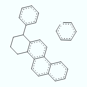 c1ccc(C2CCCc3c2ccc2c3ccc3ccccc32)cc1.c1ccncc1